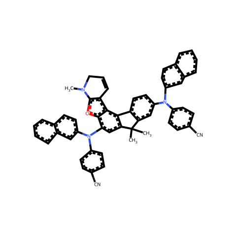 CN1CC=Cc2c1oc1c(N(c3ccc(C#N)cc3)c3ccc4ccccc4c3)cc3c(c21)-c1ccc(N(c2ccc(C#N)cc2)c2ccc4ccccc4c2)cc1C3(C)C